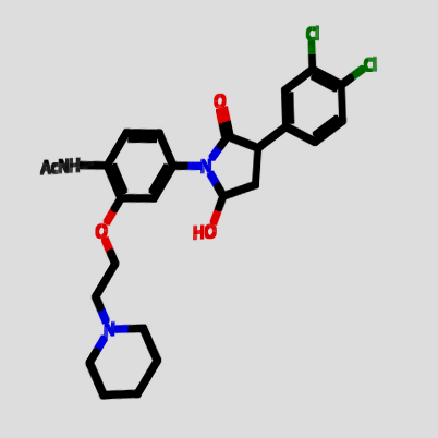 CC(=O)Nc1ccc(N2C(=O)C(c3ccc(Cl)c(Cl)c3)CC2O)cc1OCCN1CCCCC1